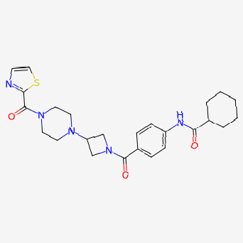 O=C(Nc1ccc(C(=O)N2CC(N3CCN(C(=O)c4nccs4)CC3)C2)cc1)C1CCCCC1